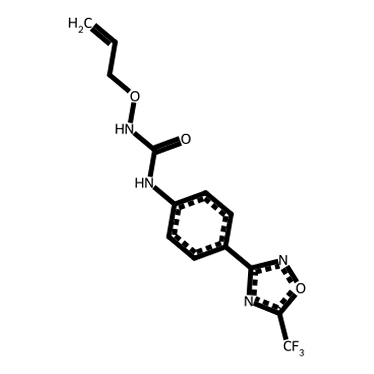 C=CCONC(=O)Nc1ccc(-c2noc(C(F)(F)F)n2)cc1